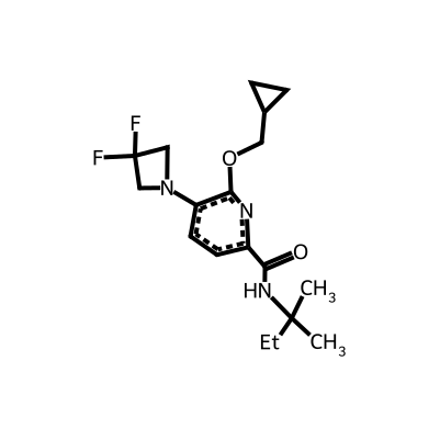 CCC(C)(C)NC(=O)c1ccc(N2CC(F)(F)C2)c(OCC2CC2)n1